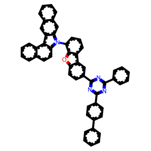 c1ccc(-c2ccc(-c3nc(-c4ccccc4)nc(-c4ccc5oc6c(-n7c8cc9ccccc9cc8c8c9ccccc9ccc87)cccc6c5c4)n3)cc2)cc1